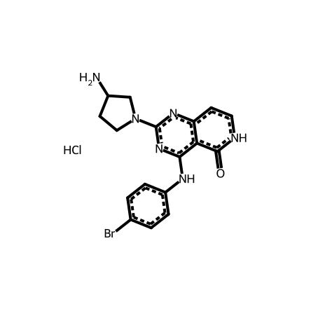 Cl.NC1CCN(c2nc(Nc3ccc(Br)cc3)c3c(=O)[nH]ccc3n2)C1